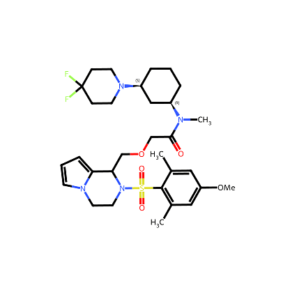 COc1cc(C)c(S(=O)(=O)N2CCn3cccc3C2COCC(=O)N(C)[C@@H]2CCC[C@H](N3CCC(F)(F)CC3)C2)c(C)c1